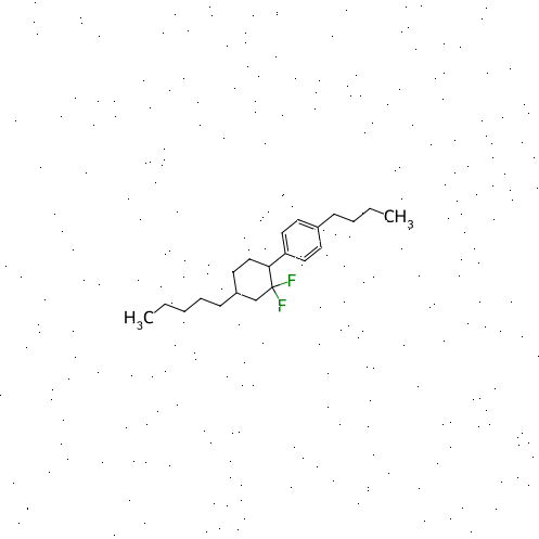 CCCCCC1CCC(c2ccc(CCCC)cc2)C(F)(F)C1